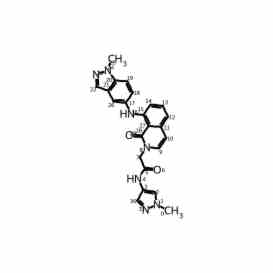 Cn1cc(NC(=O)Cn2ccc3cccc(Nc4ccc5c(cnn5C)c4)c3c2=O)cn1